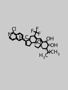 CN(C)[C@H]1C[C@@]23CC[C@@]4(O2)C(=C(C(F)(F)F)C[C@]2(C)C(c5ccc6c(Cl)nccc6c5)=CCC24)C=C3[C@@H](O)[C@@H]1O